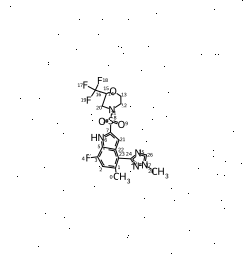 Cc1cc(F)c2[nH]c(S(=O)(=O)N3CCOC(C(F)(F)F)C3)cc2c1-c1ncn(C)n1